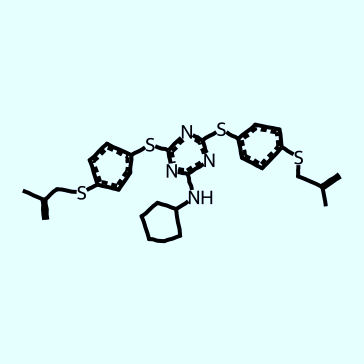 C=C(C)CSc1ccc(Sc2nc(NC3CCCCC3)nc(Sc3ccc(SCC(=C)C)cc3)n2)cc1